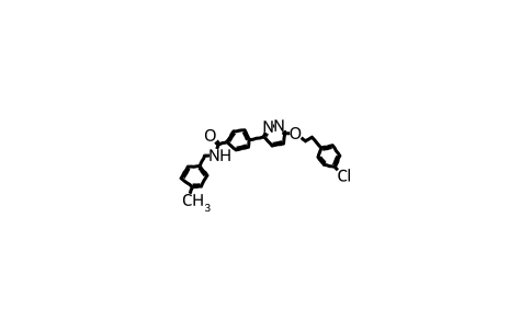 Cc1ccc(CNC(=O)c2ccc(-c3ccc(OCCc4ccc(Cl)cc4)nn3)cc2)cc1